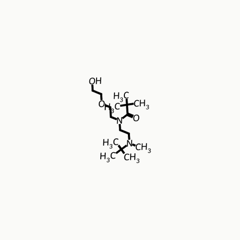 CN(CCN(CCOCCO)C(=O)C(C)(C)C)C(C)(C)C